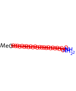 COCCOCCOCCOCCOCCOCCOCCOCCOCCOCCOCCOCCOCCOCCOCCOCCOCCOCCOCCOCCOCCOCCOCCOCCC(CCC(N)=O)C(N)=O